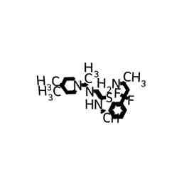 C#CN/C(=C\N=C(/C)N1CCC(C)(C)CC1)Sc1ccccc1C(F)(F)CC(C)N